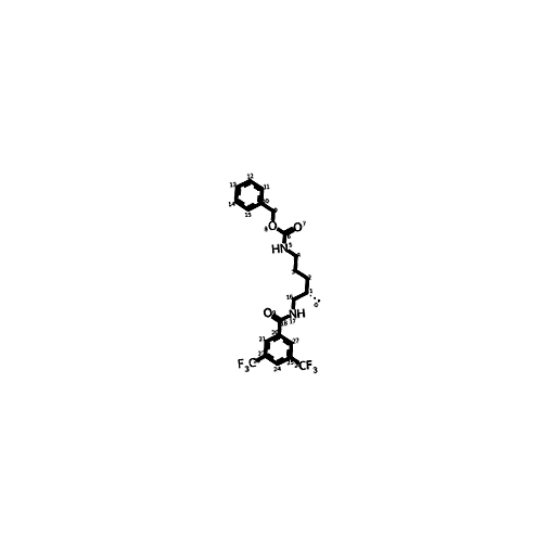 C[C@@H](CCCNC(=O)OCc1ccccc1)CNC(=O)c1cc(C(F)(F)F)cc(C(F)(F)F)c1